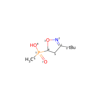 CC(C)(C)C1=NOC(P(C)(=O)O)C1